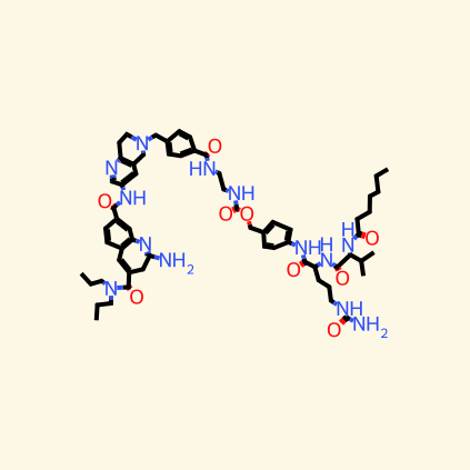 CCCCCCC(=O)NC(C(=O)NC(CCCNC(N)=O)C(=O)Nc1ccc(COC(=O)NCCNC(=O)c2ccc(CN3CCc4ncc(NC(=O)c5ccc6c(c5)N=C(N)CC(C(=O)N(CCC)CCC)=C6)cc4C3)cc2)cc1)C(C)C